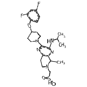 CC(C)Nc1nc2c(nc1N1CCC(Oc3ccc(F)cc3F)CC1)CCN(C[SH](=O)=O)C2C